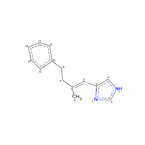 CC(=Cc1c[nH]cn1)CCc1ccccc1